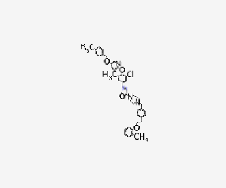 Cc1ccc(COc2ccc(Oc3c(C)cc(/C=C/C(=O)N4CCN(Cc5ccc(CCOc6ccccc6C)cc5)CC4)cc3Cl)nc2)cc1